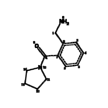 NCc1ccccc1C(=O)N1CCCC1